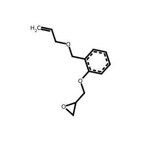 C=CCOCc1ccccc1OCC1CO1